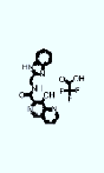 O=C(NCc1nc2ccccc2[nH]1)c1ncc2cccnc2c1O.O=C(O)C(F)(F)F